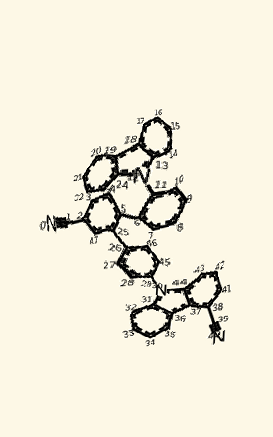 N#Cc1ccc(-c2ccccc2-n2c3ccccc3c3ccccc32)c(-c2ccc(-n3c4ccccc4c4c(C#N)cccc43)cc2)c1